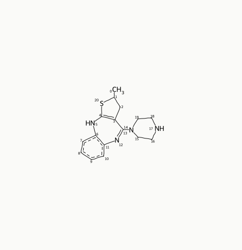 CC1CC2=C(Nc3ccccc3N=C2N2CCNCC2)S1